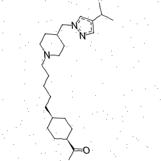 CC(=O)[C@H]1CC[C@@H](CCCCCN2CCC(Cn3cc(C(C)C)cn3)CC2)CC1